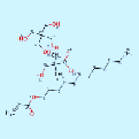 C=CC(=O)OCCCCCCCCCCCC.CC(C)(CO)C(=O)O.OCC(CO)(CO)CO